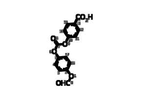 O=COc1ccc(OC(=O)Oc2ccc(C(=O)O)cc2)cc1